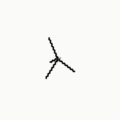 CCCCCCCCCCCCC[N+](CCCCC)(CCCCCCCCCCCCC)CCCCCCCCCCCCC